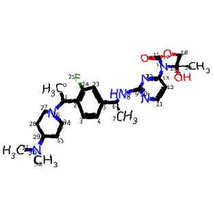 CC(c1ccc([C@H](C)Nc2nccc(N3C(=O)OC[C@]3(C)O)n2)cc1F)N1CCC(N(C)C)CC1